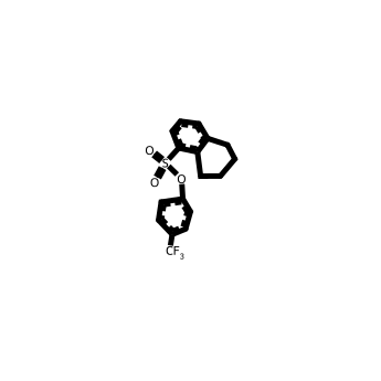 O=S(=O)(Oc1ccc(C(F)(F)F)cc1)c1cccc2c1CCCC2